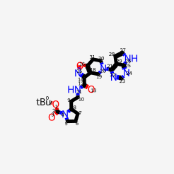 CC(C)(C)OC(=O)N1CCCC1CCNC(=O)c1noc2c1CN(c1ncnc3[nH]ccc13)CC2